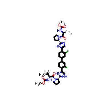 COC(=O)N[C@@H](C)C(=O)N1CCC[C@H]1c1ncc(-c2ccc(-c3ccc(C4=CNC([C@@H]5CCCN5C(=O)[C@@H](NC(=O)OC)C(C)C)N4)c(F)c3)cc2F)[nH]1